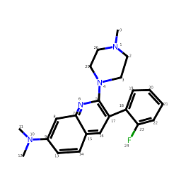 CN1CCN(c2nc3cc(N(C)C)ccc3cc2-c2ccccc2F)CC1